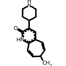 CC1C=Cc2cc(C3CCNCC3)c(=O)[nH]c2C=C1